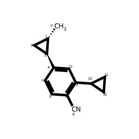 C[C@H]1C[C@@H]1c1ccc(C#N)c(C2CC2)c1